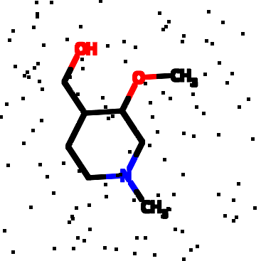 COC1CN(C)CCC1CO